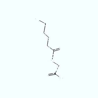 CCC(=O)CNC(=O)CCCCC(C)=O